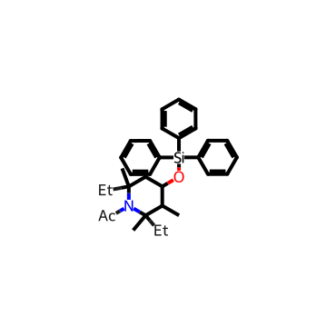 CCC1(C)CC(O[Si](c2ccccc2)(c2ccccc2)c2ccccc2)C(C)C(C)(CC)N1C(C)=O